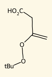 C=C(CC(=O)O)OOC(C)(C)C